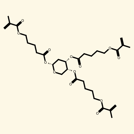 C=C(C)C(=O)OCCCCC(=O)O[C@@H]1C[C@H](OC(=O)CCCCOC(=O)C(=C)C)[C@H](OC(=O)CCCCOC(=O)C(=C)C)CO1